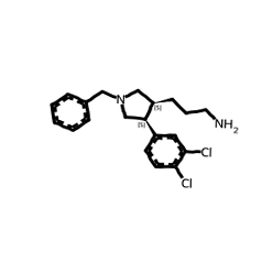 NCCC[C@@H]1CN(Cc2ccccc2)C[C@@H]1c1ccc(Cl)c(Cl)c1